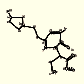 COC(=O)C(CC(C)C)n1nc(CCN2CCC(F)C2)cc(C)c1=O